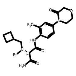 CCN(CC1CCC1)[C@@H](C(N)=O)C(=O)Nc1ccc(N2CCOCC2=O)cc1C(F)(F)F